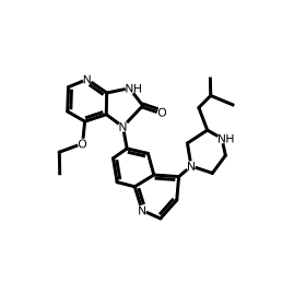 CCOc1ccnc2[nH]c(=O)n(-c3ccc4nccc(N5CCNC(CC(C)C)C5)c4c3)c12